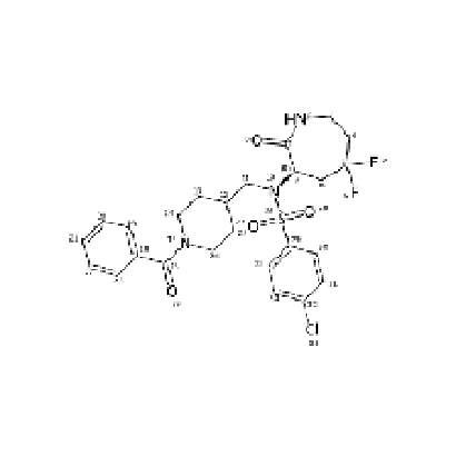 O=C1NCCC(F)(F)C[C@H]1N(CC1CCN(C(=O)c2ccccc2)CC1)S(=O)(=O)c1ccc(Cl)cc1